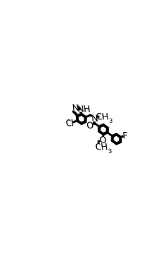 CCOc1cc(C(=O)N(C)Cc2ccc(Cl)c3cn[nH]c23)ccc1-c1cccc(F)c1